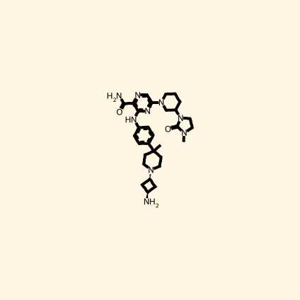 CN1CCN(C2CCCN(c3cnc(C(N)=O)c(Nc4ccc(C5(C)CCN([C@H]6C[C@H](N)C6)CC5)cc4)n3)C2)C1=O